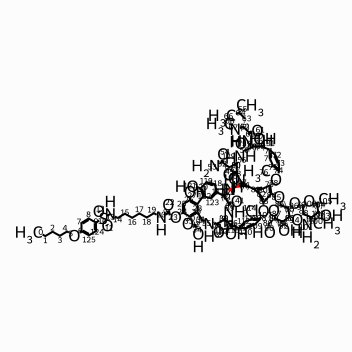 CCCCCOc1ccc(S(=O)(=O)NCCCCCCNC(=O)Oc2cc(O)c3c(c2)[C@@H](C(=O)O)NC(=O)[C@H]2NC(=O)[C@H](NC(=O)[C@@H]4NC(=O)[C@H](CC(N)=O)NC(=O)[C@H](NC(=O)[C@@H](CC(C)C)NC)[C@H](O)c5ccc(c(C)c5)Oc5cc4cc(c5O[C@@H]4O[C@H](CO)[C@@H](O)[C@H](O)[C@H]4O[C@H]4C[C@](C)(N)[C@H](O)[C@H](C)O4)Oc4ccc(cc4Cl)[C@H]2O)c2ccc(O)c-3c2)cc1